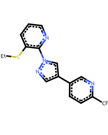 CCSc1cccnc1-n1cc(-c2ccc(C(F)(F)F)nc2)cn1